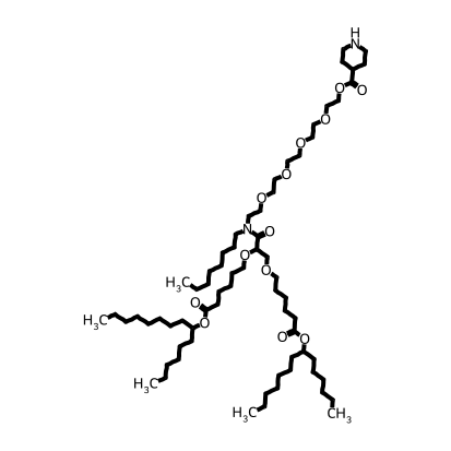 CCCCCCCCC(CCCCCC)OC(=O)CCCCCOC(COCCCCCC(=O)OC(CCCCCC)CCCCCCC)C(=O)N(CCCCCCCC)CCOCCOCCOCCOCCOC(=O)C1CCNCC1